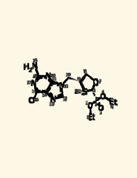 CCOP(=O)(OCC)[C@H]1OC[C@@H](Cn2cnc3c(Cl)nc(N)nc32)S1